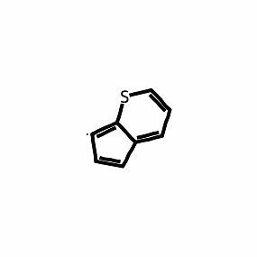 [c]1ccc2cccsc1-2